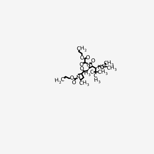 C=CCOC(=O)C(=O)N1C(=O)[C@@H]([C@@H](CO[SiH](C)C)C(C)(C)C)[C@H]1CC(=O)C1C[C@@H](C)N(C(=O)OCC=C)C1